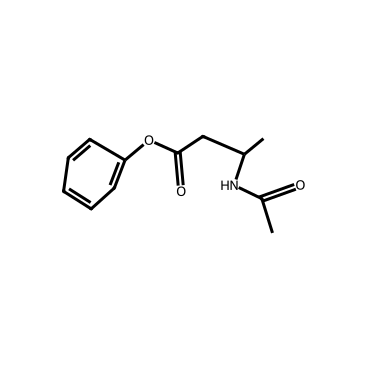 CC(=O)NC(C)CC(=O)Oc1ccccc1